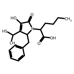 CCCCC(C(=O)O)N1C(=O)C(O)=C(C(C)S)C1Cc1ccccc1